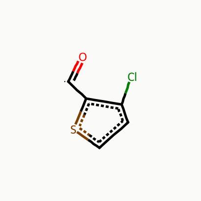 O=[C]c1sccc1Cl